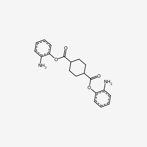 Nc1ccccc1OC(=O)C1CCC(C(=O)Oc2ccccc2N)CC1